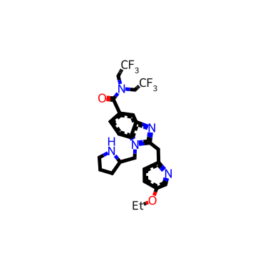 CCOc1ccc(Cc2nc3cc(C(=O)N(CC(F)(F)F)CC(F)(F)F)ccc3n2CC2CCCN2)nc1